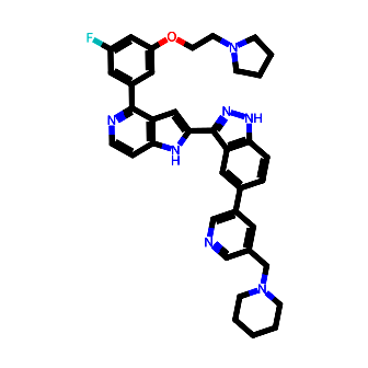 Fc1cc(OCCN2CCCC2)cc(-c2nccc3[nH]c(-c4n[nH]c5ccc(-c6cncc(CN7CCCCC7)c6)cc45)cc23)c1